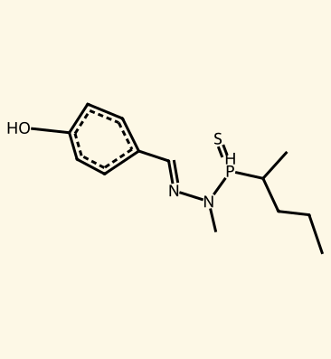 CCCC(C)[PH](=S)N(C)/N=C/c1ccc(O)cc1